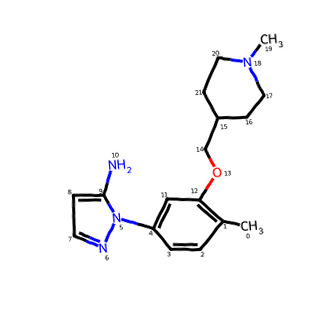 Cc1ccc(-n2nccc2N)cc1OCC1CCN(C)CC1